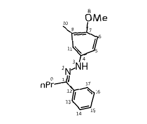 CCCC(=NNc1ccc(OC)c(C)c1)c1ccccc1